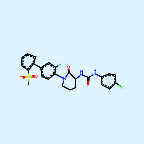 CS(=O)(=O)c1ccccc1-c1ccc(N2CCCC(NC(=O)Nc3ccc(Cl)cc3)C2=O)c(F)c1